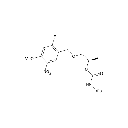 COc1cc(F)c(COC[C@@H](C)OC(=O)NC(C)(C)C)cc1[N+](=O)[O-]